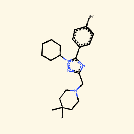 CC(C)c1ccc(-c2nc(CN3CCC(C)(C)CC3)nn2C2CCCCC2)cc1